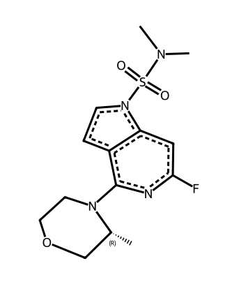 C[C@@H]1COCCN1c1nc(F)cc2c1ccn2S(=O)(=O)N(C)C